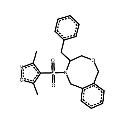 Cc1noc(C)c1S(=O)(=O)N1Cc2ccccc2COCC1Cc1ccccc1